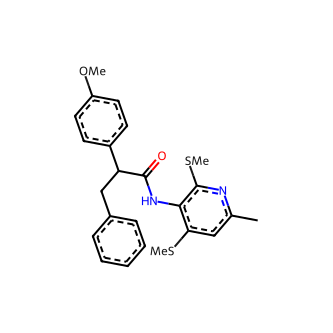 COc1ccc(C(Cc2ccccc2)C(=O)Nc2c(SC)cc(C)nc2SC)cc1